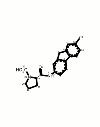 O=C(Nc1ccc2c(c1)Cc1cc(I)ccc1-2)[C@@H]1CCCN1C(=O)O